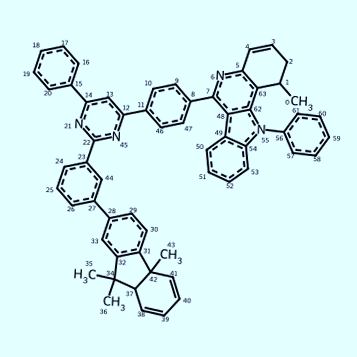 CC1CC=Cc2nc(-c3ccc(-c4cc(-c5ccccc5)nc(-c5cccc(-c6ccc7c(c6)C(C)(C)C6C=CC=CC76C)c5)n4)cc3)c3c4ccccc4n(-c4ccccc4)c3c21